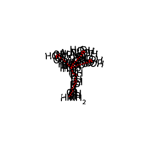 CC(=O)N[C@H]1[C@H](OCCOCCOCCNC(=O)CCC(O)C(COCCC(=O)NCCOCCOCCOC2O[C@H](CO)[C@H](O)[C@H](O)[C@H]2NC(C)=O)(NC(=O)CNC(=O)c2ccc(COc3ccc(C(=O)c4cc(C5CCN(C(=O)CNC(=O)[C@@H](CC(C)C)NC(=N)N)CC5)n(C)n4)c(Cl)c3Cl)o2)C(O)CCC(=O)NCCOCCOCCO[C@@H]2O[C@H](CO)[C@H](O)[C@H](O)[C@H]2NC(C)=O)O[C@H](CO)[C@H](O)[C@@H]1O